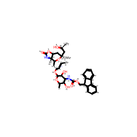 CO[C@@]1(C[C@@H](O)C(C)C)CC2OC(=O)N[C@H]2C(C[C@H](/C=C/C(C)C)OC2OC(C)C(O)C(NC(=O)OCC3c4ccccc4-c4ccccc43)C2O)O1